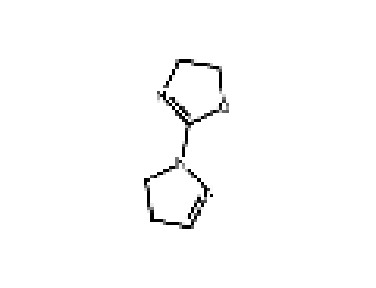 C1=NN(C2=NCCO2)CC1